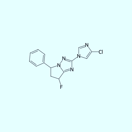 FC1CC(c2ccccc2)n2nc(-n3cnc(Cl)c3)nc21